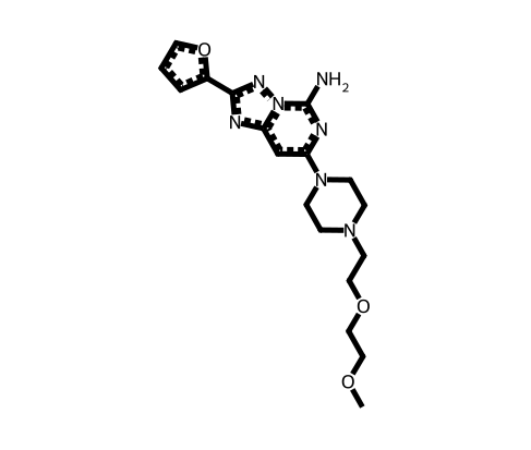 COCCOCCN1CCN(c2cc3nc(-c4ccco4)nn3c(N)n2)CC1